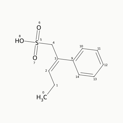 CC/C=C(/CS(=O)(=O)O)c1ccccc1